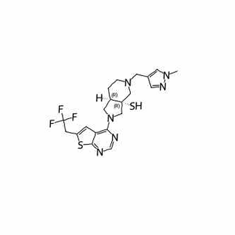 Cn1cc(CN2CC[C@@H]3CN(c4ncnc5sc(CC(F)(F)F)cc45)C[C@]3(S)C2)cn1